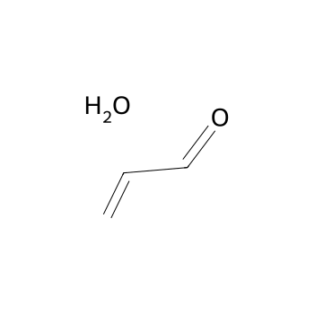 C=CC=O.O